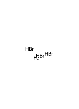 Br.Br.Br.[Fe]